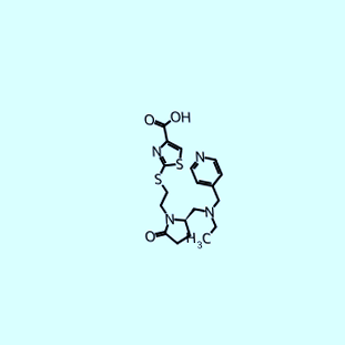 CCN(Cc1ccncc1)C[C@H]1CCC(=O)N1CCSc1nc(C(=O)O)cs1